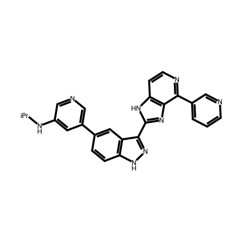 CC(C)Nc1cncc(-c2ccc3[nH]nc(-c4nc5c(-c6cccnc6)nccc5[nH]4)c3c2)c1